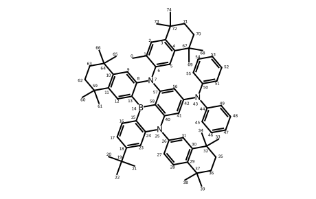 Cc1cc2c(cc1N1c3cc4c(cc3B3c5ccc(C(C)(C)C)cc5N(c5ccc6c(c5)C(C)(C)CCC6(C)C)c5cc(N(c6ccccc6)c6ccccc6)cc1c53)C(C)(C)CCC4(C)C)C(C)(C)CCC2(C)C